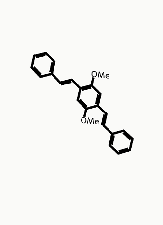 COc1cc(C=Cc2ccccc2)c(OC)cc1C=Cc1ccccc1